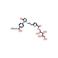 CCCCC[C@H](O)c1ccc(N2C(=O)CC[C@@H]2CCCc2ccc(C(=O)OC[C@H](O)[C@@H](O)[C@H](O)CO)s2)cc1